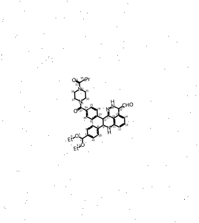 CCOC(OCC)c1ccc(C2Nc3cccc4c3C(=NNC4C=O)C2c2ccc(C(=O)N3CCN(C(=O)C(C)C)CC3)cc2)cc1